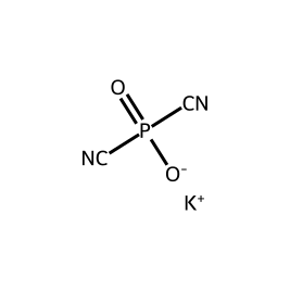 N#CP(=O)([O-])C#N.[K+]